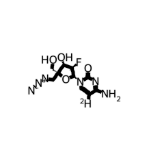 [2H]c1cn([C@@H]2O[C@@](CO)(CN=[N+]=[N-])[C@@H](O)[C@H]2F)c(=O)nc1N